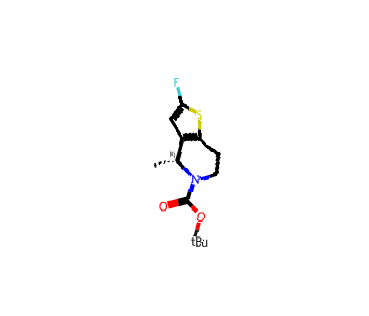 C[C@@H]1c2cc(F)sc2CCN1C(=O)OC(C)(C)C